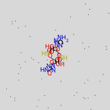 Nc1ccnc2c1ncn2C1OC2COP(=O)(S)O[C@@H]3C(COP(=O)(S)O[C@H]2[C@H]1O)OC(n1cnc2c(=O)[nH]cnc21)[C@@H]3O